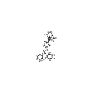 c1ccc(P(CC[C@H]2COC(C3C4CC5CC(C4)CC3C5)=N2)c2ccccc2)cc1